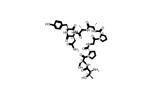 C[C@H](NC(=O)[C@H](C)NC(=O)[C@@H]1CCCN1C(=O)CNC(=O)[C@@H]1CCCN1C(=O)[C@H](CO)NC(=O)[C@@H](N)[C@@H](C)O)C(=O)N[C@@H](CC(N)=O)C(=O)N[C@@H](Cc1ccc(O)cc1)C(=O)O